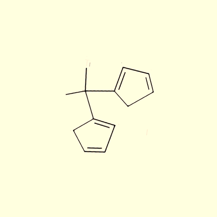 C[C]([Ti])(C1=CC=CC1)C1=CC=CC1.[H-]